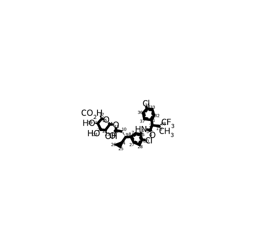 C[C@H](C(C(=O)Nc1cc([C@@H](CC(=O)OC2O[C@H](C(=O)O)[C@@H](O)[C@H](O)[C@H]2O)C2CC2)ccc1Cl)c1ccc(Cl)cc1)C(F)(F)F